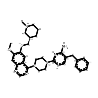 COc1cc2ncnc(N3CCN(c4ncc(Cc5ccccc5)c(N)n4)CC3)c2cc1OC[C@@H]1CCCN(C)C1